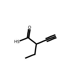 C#CC(CC)C(=O)S